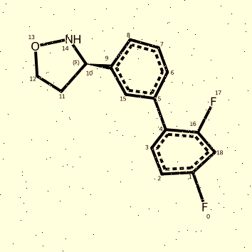 Fc1ccc(-c2cccc([C@H]3CCON3)c2)c(F)c1